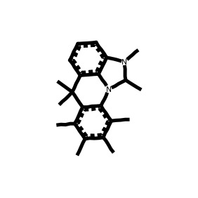 Cc1c(C)c(C)c2c(c1C)N1c3c(cccc3C2(C)C)N(C)C1C